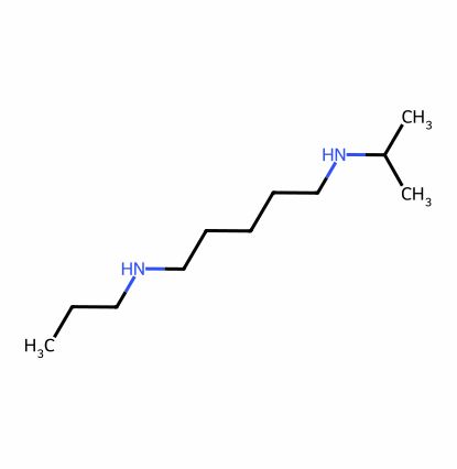 CCCNCCCCCNC(C)C